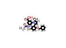 CC(=O)Nc1cc(C(=O)O)cc(-n2c(C)ccc2-c2cc(Br)ccc2OCc2ccccc2)c1